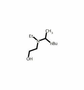 CCCCC(C)N(CC)CCO